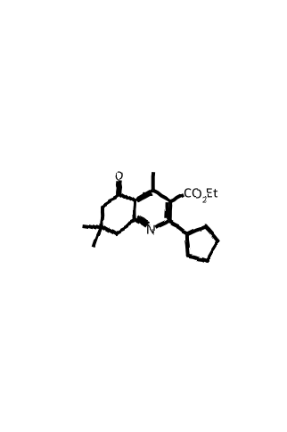 CCOC(=O)c1c(C2CCCC2)nc2c(c1C)C(=O)CC(C)(C)C2